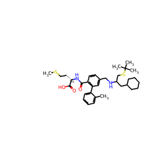 CSCC[C@H](NC(=O)c1ccc(CNC(CSC(C)(C)C)CC2CCCCC2)cc1-c1ccccc1C)C(=O)O